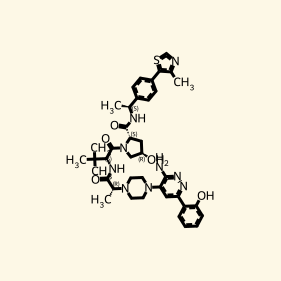 Cc1ncsc1-c1ccc([C@H](C)NC(=O)[C@@H]2C[C@@H](O)CN2C(=O)[C@@H](NC(=O)[C@@H](C)N2CCN(c3cc(-c4ccccc4O)nnc3N)CC2)C(C)(C)C)cc1